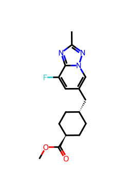 COC(=O)[C@H]1CC[C@H](Cc2cc(F)c3nc(C)nn3c2)CC1